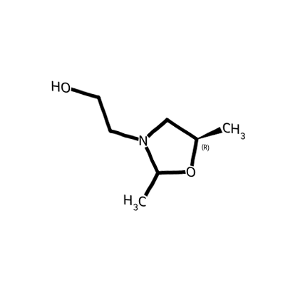 CC1O[C@H](C)CN1CCO